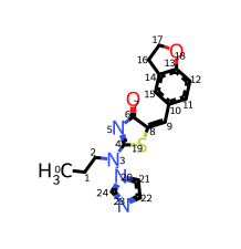 CCCN(C1=NC(=O)C(=Cc2ccc3c(c2)CCO3)S1)n1ccnc1